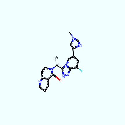 CC(C)[C@H](c1nnc2c(F)cc(-c3cn(C)cn3)cn12)n1ccc2ncccc2c1=O